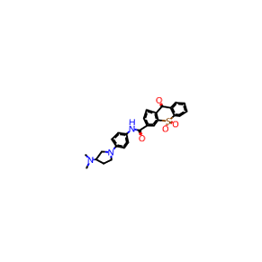 CN(C)C1CCN(c2ccc(NC(=O)c3ccc4c(c3)S(=O)(=O)c3ccccc3C4=O)cc2)C1